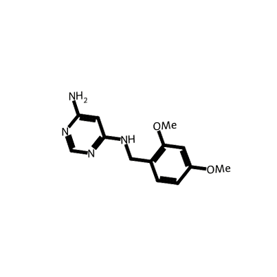 COc1ccc(CNc2cc(N)ncn2)c(OC)c1